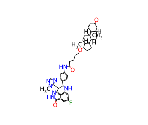 Cn1ncnc1C1c2n[nH]c(=O)c3cc(F)cc(c23)NC1c1ccc(NC(=O)CCCCO[C@H]2CC[C@H]3[C@@H]4CC[C@H]5CC(=O)CC[C@]5(C)[C@H]4CC[C@]23C)cc1